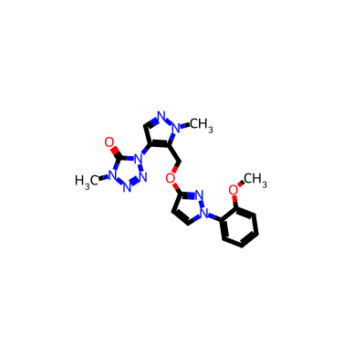 COc1ccccc1-n1ccc(OCc2c(-n3nnn(C)c3=O)cnn2C)n1